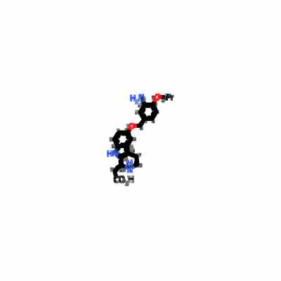 CC(C)Oc1ccc(COc2ccc3[nH]c4c(c3c2)CCNC4CC(=O)O)cc1N